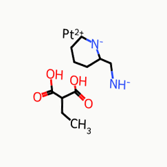 CCC(C(=O)O)C(=O)O.[NH-]CC1CCCC[N-]1.[Pt+2]